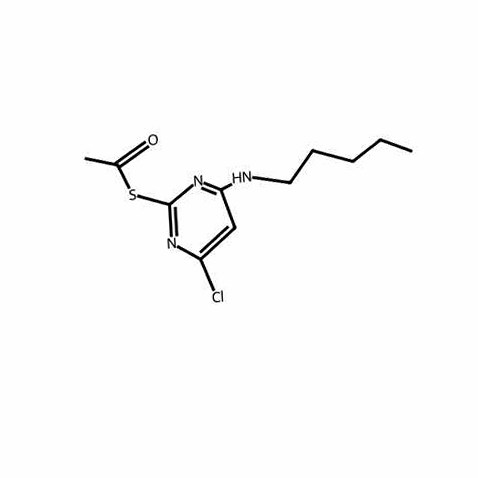 CCCCCNc1cc(Cl)nc(SC(C)=O)n1